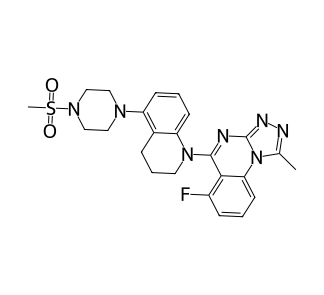 Cc1nnc2nc(N3CCCc4c(N5CCN(S(C)(=O)=O)CC5)cccc43)c3c(F)cccc3n12